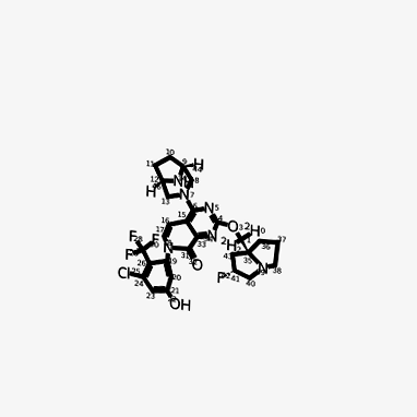 [2H]C([2H])(Oc1nc(N2C[C@H]3CC[C@@H](C2)N3)c2ccn(-c3cc(O)cc(Cl)c3C(F)(F)F)c(=O)c2n1)[C@@]12CCCN1C[C@H](F)C2